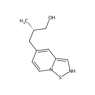 C[C@H](CO)CC1=CC2=CNSN2C=C1